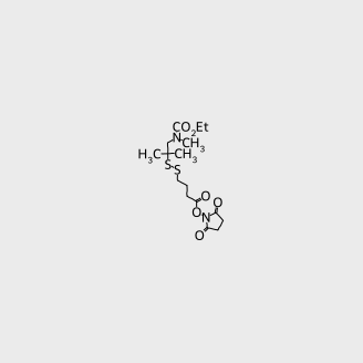 CCOC(=O)N(C)CC(C)(C)SSCCCC(=O)ON1C(=O)CCC1=O